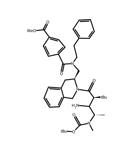 COC(=O)c1ccc(C(=O)N(CCc2ccccc2)C[C@@H]2Cc3ccccc3CN2C(=O)[C@H](C(N)[C@H](C)N(C)C(=O)OC(C)(C)C)C(C)(C)C)cc1